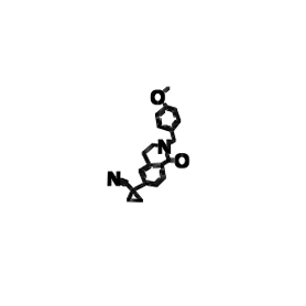 COc1ccc(CN2CCc3cc(C4(C#N)CC4)ccc3C2=O)cc1